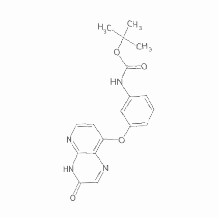 CC(C)(C)OC(=O)Nc1cccc(Oc2ccnc3[nH]c(=O)cnc23)c1